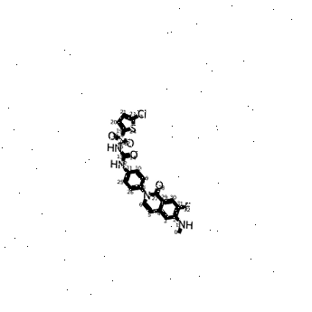 CNc1cc2ccn(-c3ccc(NC(=O)NS(=O)(=O)c4ccc(Cl)s4)cc3)c(=O)c2cc1F